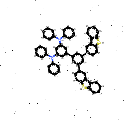 c1ccc(N(c2ccccc2)c2cc(-c3cc(-c4ccc5sc6ccccc6c5c4)cc(-c4ccc5sc6ccccc6c5c4)c3)cc(N(c3ccccc3)c3ccccc3)c2)cc1